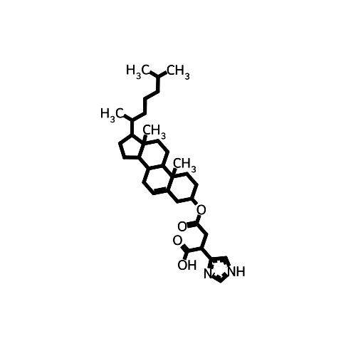 CC(C)CCCC(C)C1CCC2C3CC=C4CC(OC(=O)CC(C(=O)O)c5c[nH]cn5)CCC4(C)C3CCC12C